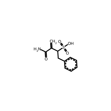 C=C(C(N)=O)C(Cc1ccccc1)S(=O)(=O)O